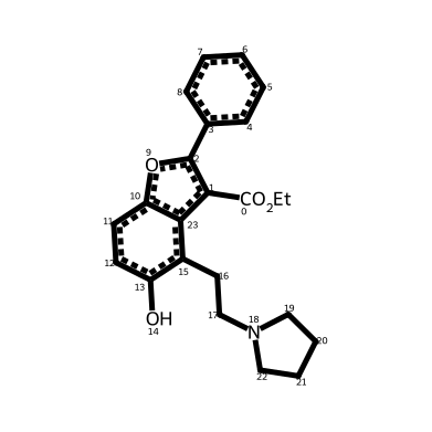 CCOC(=O)c1c(-c2ccccc2)oc2ccc(O)c(CCN3CCCC3)c12